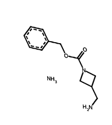 N.NCC1CN(C(=O)OCc2ccccc2)C1